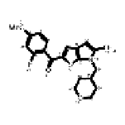 COc1ccc(C(=O)c2cc3cc(C)n(CC4CCOCC4)c3s2)c(F)c1